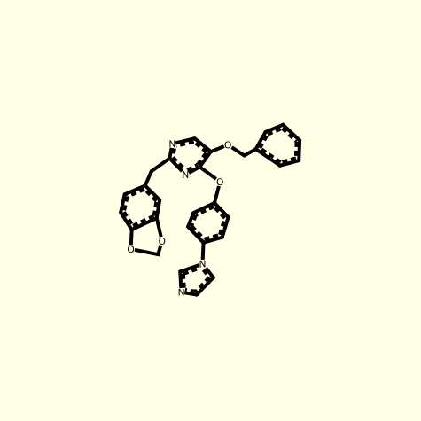 c1ccc(COc2cnc(Cc3ccc4c(c3)OCO4)nc2Oc2ccc(-n3ccnc3)cc2)cc1